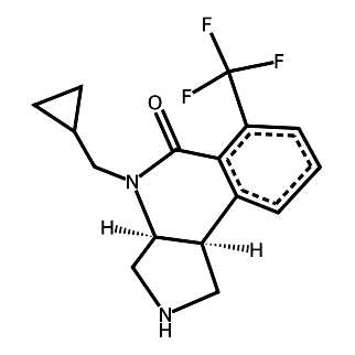 O=C1c2c(cccc2C(F)(F)F)[C@H]2CNC[C@H]2N1CC1CC1